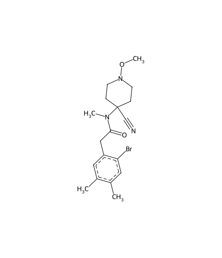 CON1CCC(C#N)(N(C)C(=O)Cc2cc(C)c(C)cc2Br)CC1